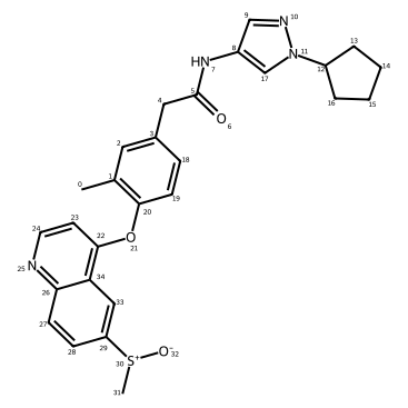 Cc1cc(CC(=O)Nc2cnn(C3CCCC3)c2)ccc1Oc1ccnc2ccc([S+](C)[O-])cc12